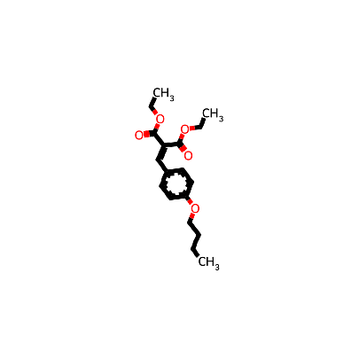 CCCCOc1ccc(C=C(C(=O)OCC)C(=O)OCC)cc1